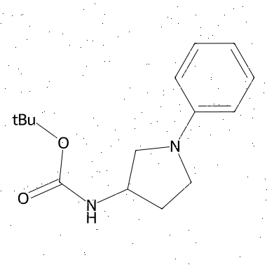 CC(C)(C)OC(=O)NC1CCN(c2ccccc2)C1